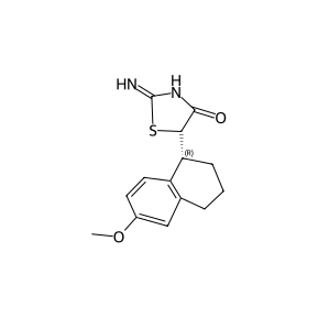 COc1ccc2c(c1)CCC[C@H]2C1SC(=N)NC1=O